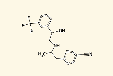 CC(Cc1ccc(C#N)cc1)NCC(O)c1cccc(C(F)(F)F)c1